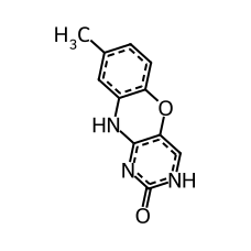 Cc1ccc2c(c1)Nc1nc(=O)[nH]cc1O2